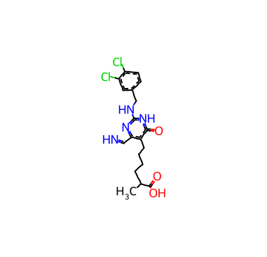 CC(CCCCc1c(C=N)nc(NCc2ccc(Cl)c(Cl)c2)[nH]c1=O)C(=O)O